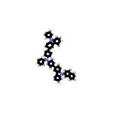 c1ccc(N(c2ccc(-c3ccc4c(c3)c3ccccc3n4-c3ccccc3)cc2)c2ccc(-c3ccc4c(c3)c3ccccc3n4-c3ccc4ccccc4c3)cc2)cc1